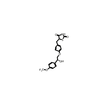 O=C1NC(=O)C(Cc2ccc(OC[C@@H](O)c3ccc(OC(F)(F)F)cc3)cc2)S1